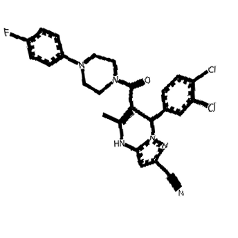 CC1=C(C(=O)N2CCN(c3ccc(F)cc3)CC2)C(c2ccc(Cl)c(Cl)c2)n2nc(C#N)cc2N1